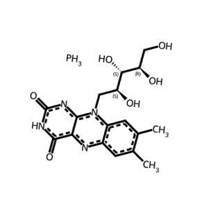 Cc1cc2nc3c(=O)[nH]c(=O)nc-3n(C[C@H](O)[C@H](O)[C@H](O)CO)c2cc1C.P